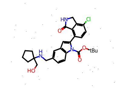 CC(C)(C)OC(=O)n1c(-c2ccc(Cl)c3c2C(=O)NC3)cc2cc(CNC3(CO)CCCC3)ccc21